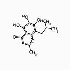 Cc1cc(=O)c2c(O)c(O)c(O)c(CC(C)C)c2o1